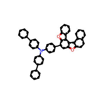 c1ccc(-c2ccc(N(c3ccc(-c4ccccc4)cc3)c3ccc(-c4cc5oc6ccc7ccccc7c6c5c5c4oc4ccccc45)cc3)cc2)cc1